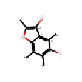 Cc1oc2c(C)c(C)c(Br)c(C)c2c1[O]